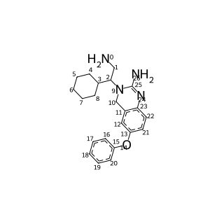 NCC(C1CCCCC1)N1Cc2cc(Oc3ccccc3)ccc2N=C1N